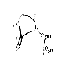 O=C(O)N[C@H]1CCOC1=O